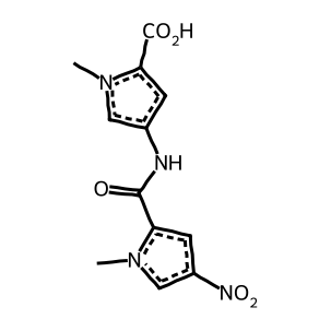 Cn1cc(NC(=O)c2cc([N+](=O)[O-])cn2C)cc1C(=O)O